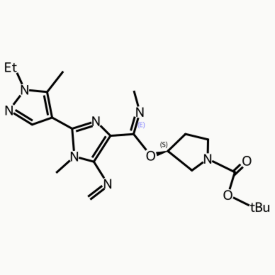 C=Nc1c(/C(=N\C)O[C@H]2CCN(C(=O)OC(C)(C)C)C2)nc(-c2cnn(CC)c2C)n1C